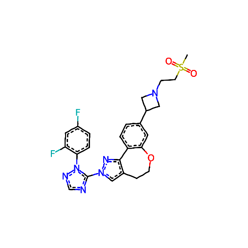 CS(=O)(=O)CCN1CC(c2ccc3c(c2)OCCc2cn(-c4ncnn4-c4ccc(F)cc4F)nc2-3)C1